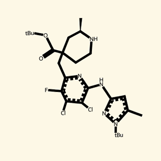 Cc1cc(Nc2nc(CC3(C(=O)OC(C)(C)C)CCN[C@H](C)C3)c(F)c(Cl)c2Cl)nn1C(C)(C)C